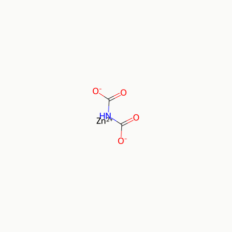 O=C([O-])NC(=O)[O-].[Zn+2]